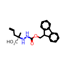 C=CC[C@@](C)(NNC(=O)OCC1c2ccccc2-c2ccccc21)C(=O)O